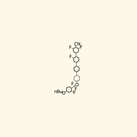 CCCCOc1ccc(C(F)(F)OC2CCC(c3ccc(-c4ccc(-c5cc(F)c(C#N)c(F)c5)c(F)c4)cc3)CC2)c(F)c1